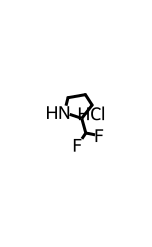 Cl.FC(F)C1CCCN1